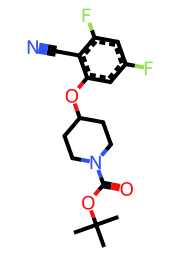 CC(C)(C)OC(=O)N1CCC(Oc2cc(F)cc(F)c2C#N)CC1